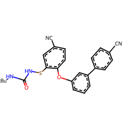 CC(C)(C)NC(=O)NSc1cc(C#N)ccc1Oc1cccc(-c2ccc(C#N)cc2)c1